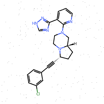 Clc1cccc(C#C[C@H]2CC[C@H]3CN(c4ncccc4-c4nc[nH]n4)CCN32)c1